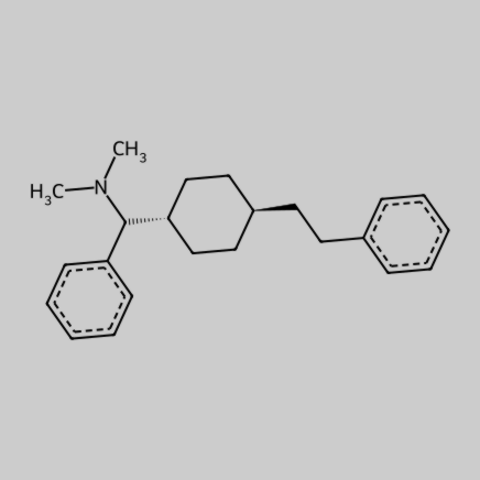 CN(C)C(c1ccccc1)[C@H]1CC[C@H](CCc2ccccc2)CC1